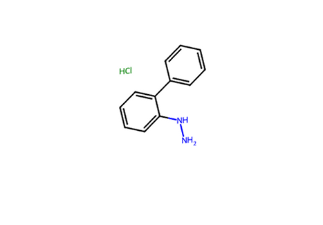 Cl.NNc1ccccc1-c1ccccc1